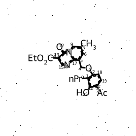 CCCc1c(OCc2cc(C)cn3c(=O)c(C(=O)OCC)cnc23)ccc(C(C)=O)c1O